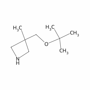 CC1(COC(C)(C)C)CNC1